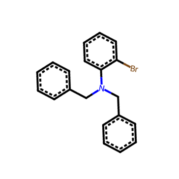 Brc1ccccc1N(Cc1ccccc1)Cc1ccccc1